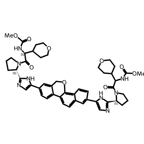 COC(=O)NC(C(=O)N1CCC[C@H]1c1ncc(-c2ccc3c4c(ccc3c2)-c2ccc(-c3cnc([C@@H]5CCCN5C(=O)[C@@H](NC(=O)OC)C5CCOCC5)[nH]3)cc2CO4)[nH]1)C1CCOCC1